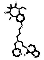 CCN1C(=O)C(C)(C)C(=O)N(C)c2cc(OCCCN(CCn3ccc4ccsc4c3=O)Cc3cccnc3)ccc21